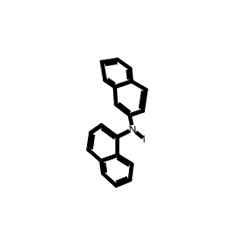 IN(c1ccc2ccccc2c1)c1cccc2ccccc12